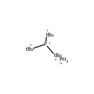 CC(C)(C)P(C(C)(C)C)C(C)(C)C.P